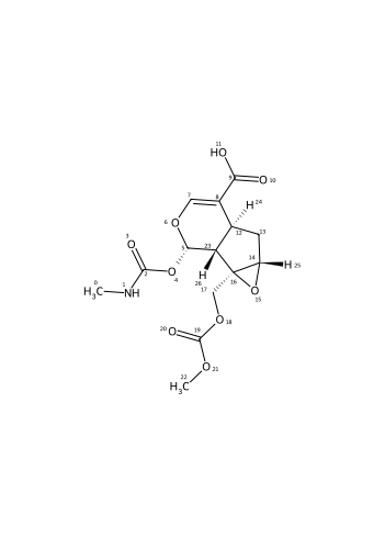 CNC(=O)O[C@@H]1OC=C(C(=O)O)[C@H]2C[C@@H]3O[C@@]3(COC(=O)OC)[C@H]12